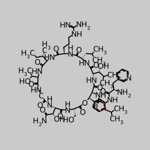 CC[C@H](C)C1NC(=O)[C@@H](CCCNC(=N)N)NC(=O)[C@H](CC(C)C)NC(=O)[C@H]([C@H](O)C(C)C)NC(=O)[C@@H](NC(=O)[C@H](CC(C)C)NC(=O)[C@H](N)Cc2cccnc2)[C@@H](c2ccccc2)OC(=O)[C@H](CO)NC(=O)[C@H]([C@H](O)C(N)=O)NC(=O)CNC(=O)C([C@H](C)O)NC1=O